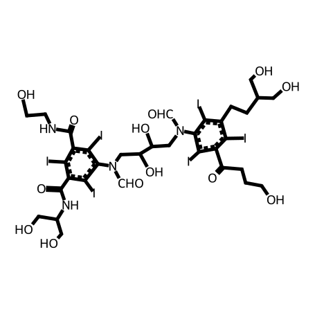 O=CN(CC(O)C(O)CN(C=O)c1c(I)c(C(=O)NCCO)c(I)c(C(=O)NC(CO)CO)c1I)c1c(I)c(CCC(CO)CO)c(I)c(C(=O)CCCO)c1I